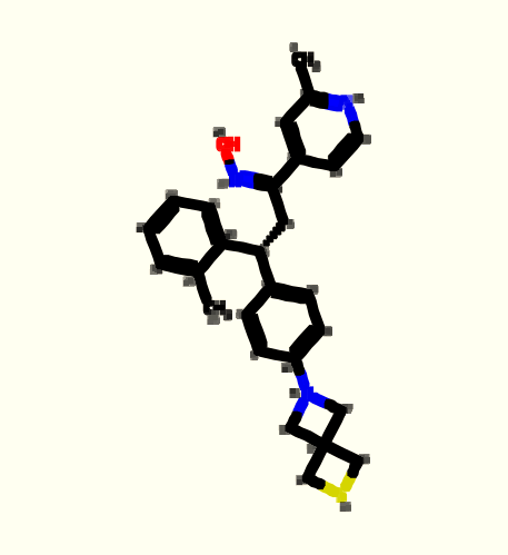 Cc1cc(/C(C[C@H](c2ccc(N3CC4(CSC4)C3)cc2)c2ccccc2C)=N\O)ccn1